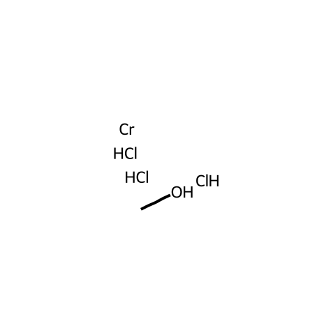 CO.Cl.Cl.Cl.[Cr]